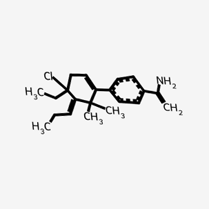 C=C(N)c1ccc(C2=CCC(Cl)(CC)/C(=C\CC)C2(C)C)cc1